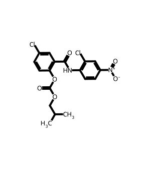 CC(C)COC(=O)Oc1ccc(Cl)cc1C(=O)Nc1ccc([N+](=O)[O-])cc1Cl